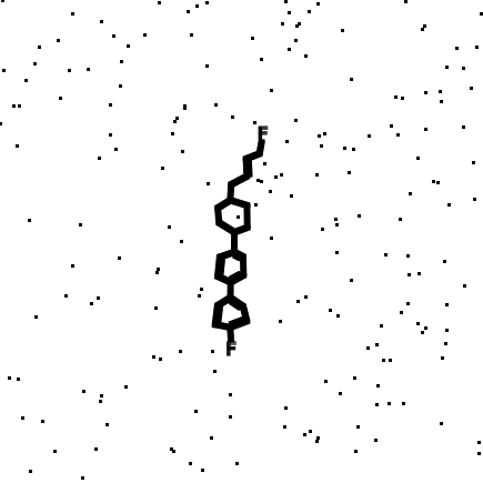 FC/C=C/CC1CCC(c2ccc(-c3ccc(F)cc3)cc2)CC1